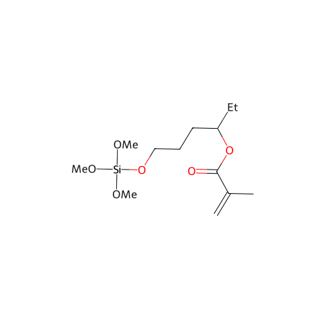 C=C(C)C(=O)OC(CC)CCCO[Si](OC)(OC)OC